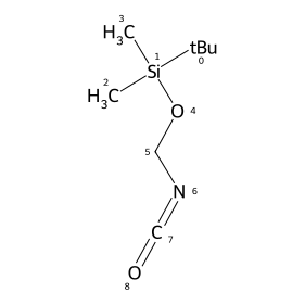 CC(C)(C)[Si](C)(C)OCN=C=O